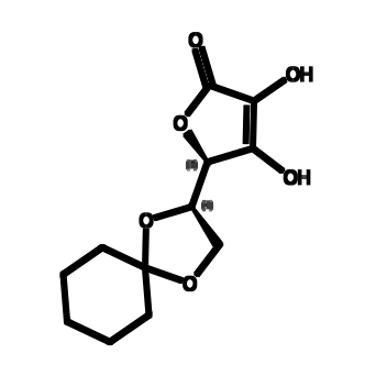 O=C1O[C@H]([C@H]2COC3(CCCCC3)O2)C(O)=C1O